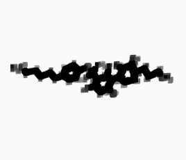 CCCCCCc1ccc(OC(F)(F)c2c(F)cc([O])c(-c3ccc(CCCC)c(F)c3F)c2F)cc1